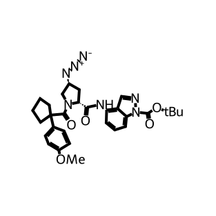 COc1ccc(C2(C(=O)N3C[C@H](N=[N+]=[N-])C[C@@H]3C(=O)Nc3cccc4c3cnn4C(=O)OC(C)(C)C)CCCC2)cc1